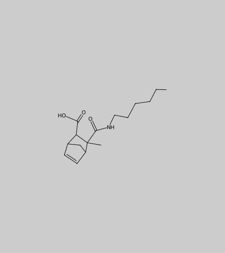 CCCCCCNC(=O)C1(C)C2C=CC(C2)C1C(=O)O